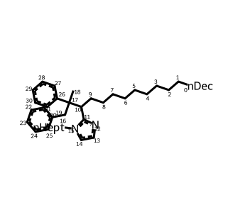 CCCCCCCCCCCCCCCCCCCC(c1nccn1CCCCCCC)C(C)(Cc1ccccc1)c1ccccc1